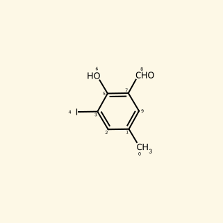 Cc1cc(I)c(O)c(C=O)c1